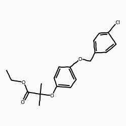 CCOC(=O)C(C)(C)Oc1ccc(OCc2ccc(Cl)cc2)cc1